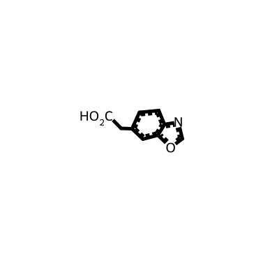 O=C(O)Cc1ccc2ncoc2c1